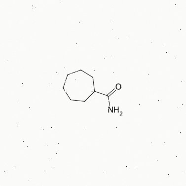 NC(=O)[C]1CCCCCC1